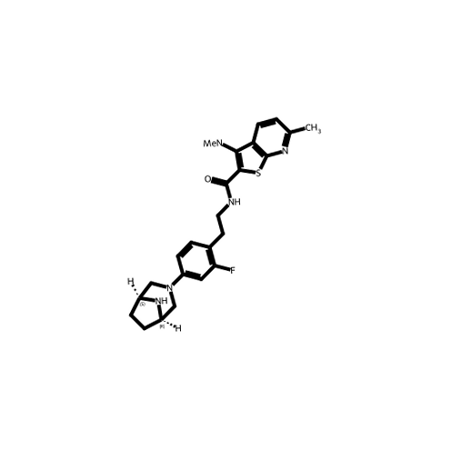 CNc1c(C(=O)NCCc2ccc(N3C[C@H]4CC[C@@H](C3)N4)cc2F)sc2nc(C)ccc12